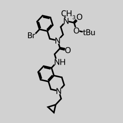 CN(CCN(Cc1ccccc1Br)C(=O)CNc1cccc2c1CCN(CC1CC1)C2)C(=O)OC(C)(C)C